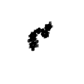 CC1(C)CCC(CN2CC(Cc3ccc4c(c3)CN(C3CCC(=O)NC3=O)C4=O)C2)=C(c2ccc(F)cc2)C1